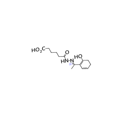 C/C(=N\NC(=O)CCCCC(=O)O)C1=C(O)CCC=C1